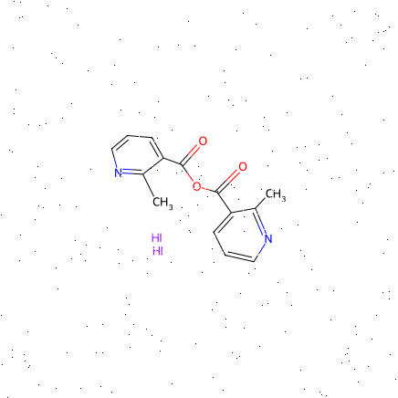 Cc1ncccc1C(=O)OC(=O)c1cccnc1C.I.I